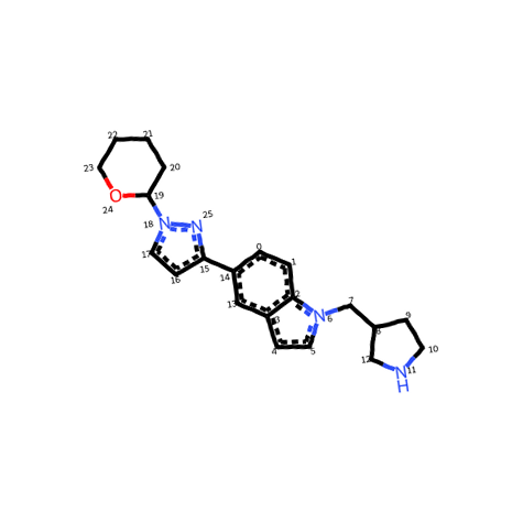 c1cc2c(ccn2CC2CCNC2)cc1-c1ccn(C2CCCCO2)n1